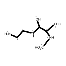 NCCNC(O)C(C=O)NC(=O)O